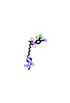 CCNC(=S)N1CCN(CCCCCCCC2=C(C)C(=O)N(c3ccc(C#N)c(C(F)(F)F)c3)C2=O)CC1